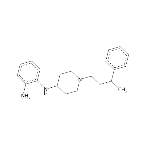 CC(CCN1CCC(Nc2ccccc2N)CC1)c1ccccc1